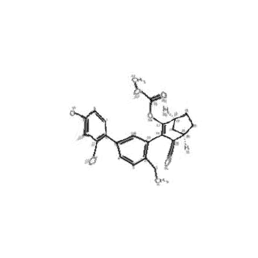 CCc1ccc(-c2ccc(Cl)cc2Cl)cc1C1=C(OC(=O)OC)[C@H]2CC[C@H](C2)C1=O